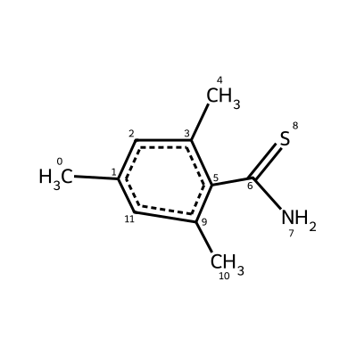 Cc1cc(C)c(C(N)=S)c(C)c1